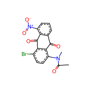 CC(=O)N(C)c1ccc(Br)c2c1C(=O)c1cccc([N+](=O)[O-])c1C2=O